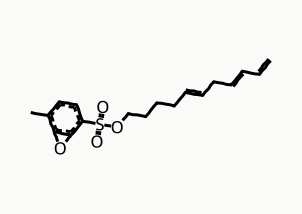 C=CC=CCC=CCCCCOS(=O)(=O)c1ccc(C)c2c1O2